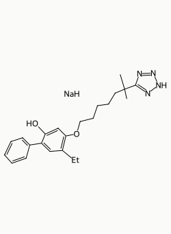 CCc1cc(-c2ccccc2)c(O)cc1OCCCCCC(C)(C)c1nn[nH]n1.[NaH]